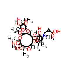 CC[C@H]1OC(=O)[C@H](C)[C@@H](O[C@H]2C[C@@](C)(OC)[C@@H](O)[C@H](C)O2)[C@H](C)[C@@H](O[C@@H]2O[C@H](C)C[C@H](N(C)CC3CC3C(=O)O)[C@H]2O)[C@](C)(OC)C[C@@H](C)C(=O)[C@H](C)[C@@H](O)[C@]1(C)O